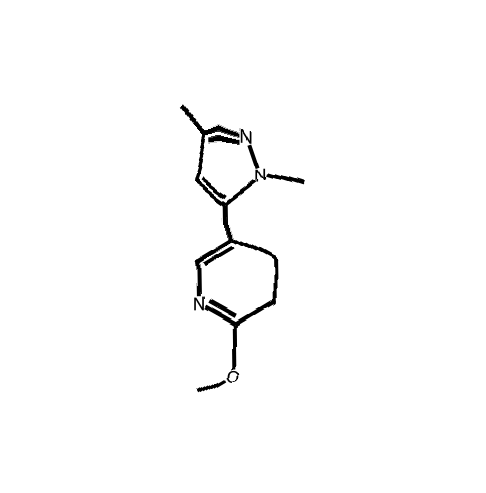 COC1=NC=C(c2cc(C)nn2C)CC1